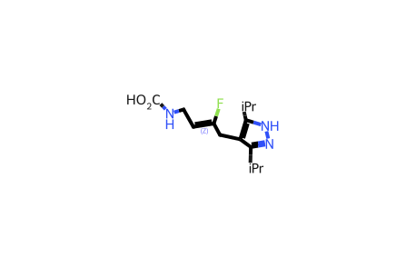 CC(C)c1n[nH]c(C(C)C)c1C/C(F)=C/CNC(=O)O